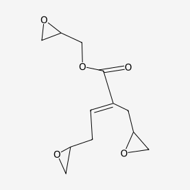 O=C(OCC1CO1)C(=CCC1CO1)CC1CO1